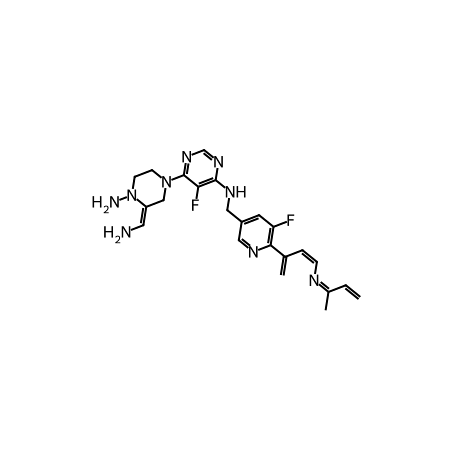 C=C/C(C)=N\C=C/C(=C)c1ncc(CNc2ncnc(N3CCN(N)/C(=C\N)C3)c2F)cc1F